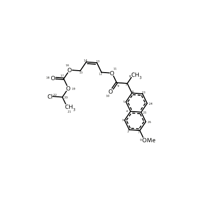 COc1ccc2cc(C(C)C(=O)OC/C=C\COC(=O)OC(C)Cl)ccc2c1